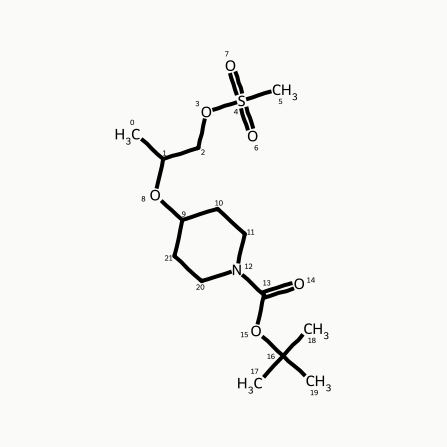 CC(COS(C)(=O)=O)OC1CCN(C(=O)OC(C)(C)C)CC1